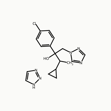 CC(C1CC1)C(O)(Cn1cncn1)c1ccc(Cl)cc1.c1c[nH]nn1